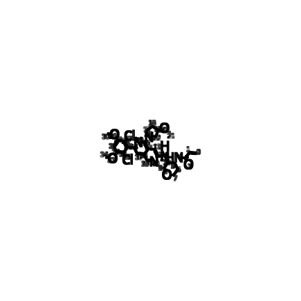 C=CC(=O)N[C@H]1CCOC[C@H]1Nc1cc2c(N3CCC(OC)C3)nc(-c3c(Cl)c(OC)cc(OC)c3Cl)cc2cn1